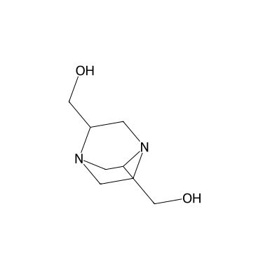 OCC1CN2CCN1CC2CO